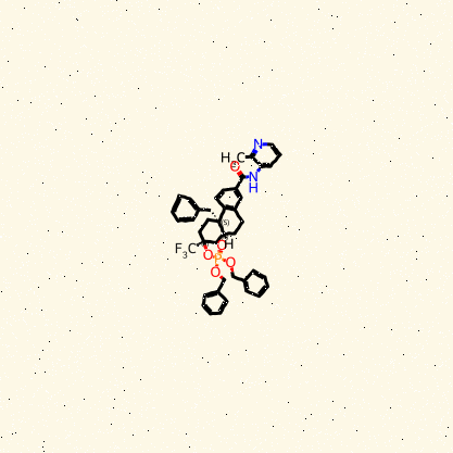 Cc1ncccc1NC(=O)c1ccc2c(c1)CC[C@@H]1C[C@@](OP(=O)(OCc3ccccc3)OCc3ccccc3)(C(F)(F)F)CC[C@@]21Cc1ccccc1